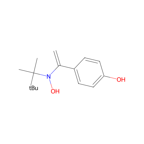 C=C(c1ccc(O)cc1)N(O)C(C)(C)C(C)(C)C